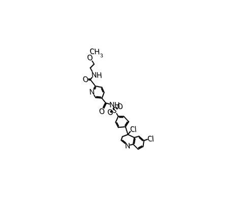 COCCNC(=O)c1ccc(C(=O)NS(=O)(=O)c2ccc(C3(Cl)CC=Nc4ccc(Cl)cc43)cc2)cn1